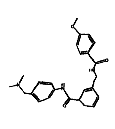 COc1ccc(C(=O)NCC2=CC(C(=O)Nc3ccc(CN(C)C)cc3)CC=C2)cc1